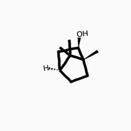 CC1(C)[C@H]2CC[C@@]1(C)[C@H](O)C2